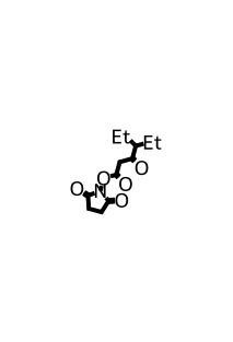 CCC(CC)C(=O)CC(=O)ON1C(=O)CCC1=O